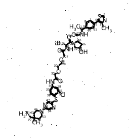 Cc1ncsc1-c1ccc([C@H](C)NC(=O)[C@@H]2C[C@@H](O)CN2C(=O)[C@@H](NC(=O)COCCOCC(=O)Nc2ccc(Sc3cnc(N4CCC(C)(CN)CC4)cn3)c(Cl)c2)C(C)(C)C)cc1